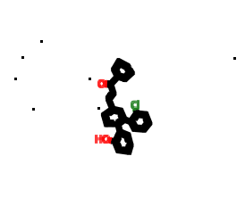 O=C(C=Cc1ccc(-c2ccccc2O)c(-c2ccccc2Cl)c1)c1ccccc1